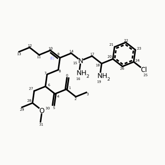 C=C(CC)C(=C)C(CC/C(=C\CCC)CN(N)CC(N)c1cccc(Cl)c1)CC(C)OC